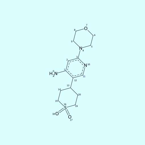 Nc1cc(N2CCOCC2)ncc1C1CCS(=O)(=O)CC1